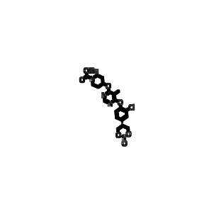 Cc1c(Oc2ccc([C@H]3CO[S@@](=O)OC3)cc2Cl)ncnc1OC1CCN(C(=O)OCC(C)C)CC1